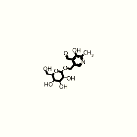 Cc1ncc(CO[C@@H]2O[C@H](CO)[C@H](O)[C@H](O)[C@H]2O)c(C=O)c1O